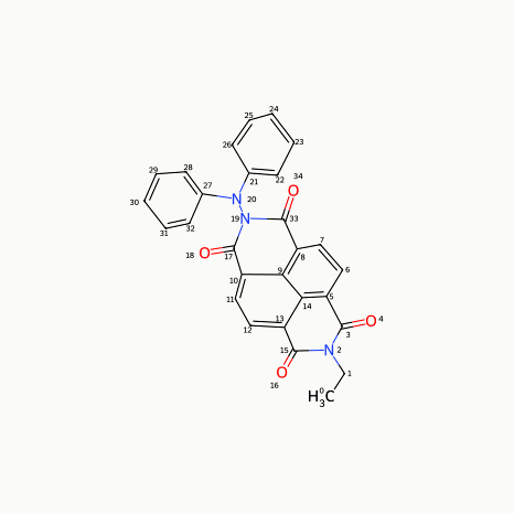 CCN1C(=O)c2ccc3c4c(ccc(c24)C1=O)C(=O)N(N(c1ccccc1)c1ccccc1)C3=O